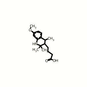 COc1ccc2c(c1)NC(C)(C)C(CCCC(=O)O)C2C